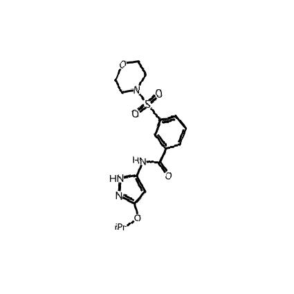 CC(C)Oc1cc(NC(=O)c2cccc(S(=O)(=O)N3CCOCC3)c2)[nH]n1